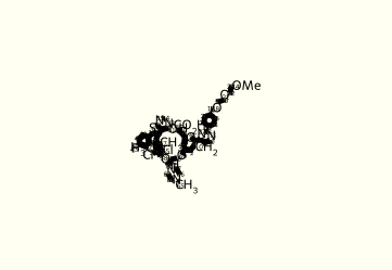 C=C/C=C1\C=C(/OCc2ccnc([C@H]3CC[C@H](COCCOCCOC)CC3)n2)C[C@H](C(=O)O)Oc2ncnc3sc(-c4ccc(F)cc4)c(c23)-c2c(C)c(Cl)c(c(Cl)c2C)O[C@H](CN2CCN(C)CC2)CO1